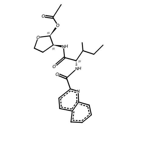 CCC(C)[C@H](NC(=O)c1ccc2ccccc2n1)C(=O)N[C@H]1CCO[C@H]1OC(C)=O